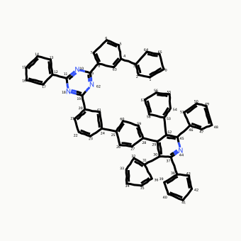 c1ccc(-c2cccc(-c3nc(-c4ccccc4)nc(-c4cccc(-c5ccc(-c6c(-c7ccccc7)c(-c7ccccc7)nc(-c7ccccc7)c6-c6ccccc6)cc5)c4)n3)c2)cc1